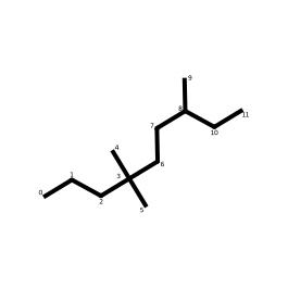 CCCC(C)(C)CCC(C)CC